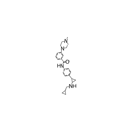 CN1CCN(c2cccc(C(=O)Nc3ccc(C4CC4NCC4CC4)cc3)c2)CC1